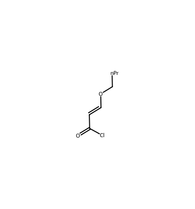 CCCCO/C=C/C(=O)Cl